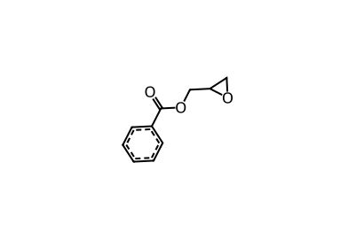 O=C(OCC1CO1)c1ccccc1